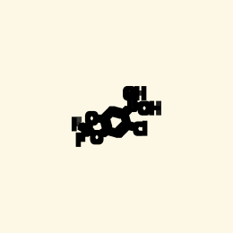 OB(O)c1cc2c(cc1Cl)OC(F)(F)O2